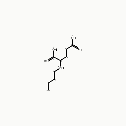 [CH2]CCCNC(CCC(=O)O)C(=O)O